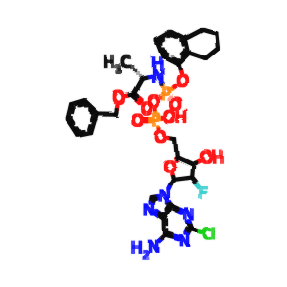 C[C@H](NP(=O)(Oc1cccc2c1CCCC2)OP(=O)(O)OCC1OC(n2cnc3c(N)nc(Cl)nc32)C(F)C1O)C(=O)OCc1ccccc1